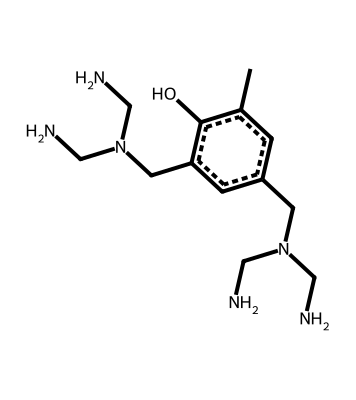 Cc1cc(CN(CN)CN)cc(CN(CN)CN)c1O